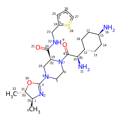 C[C@@H]1N=C(N2CCN(C(=O)[C@H](N)[C@H]3CC[C@H](N)CC3)[C@H](C(=O)NCc3cccs3)C2)O[C@H]1C